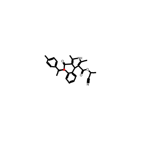 CCOC(=O)C1=C(C)NC(C)=C(C(=O)OC(C)C#N)C1c1ccccc1SCc1ccc(C)cc1